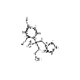 OCCC(O)(Cn1cncn1)c1ccc(F)cc1F